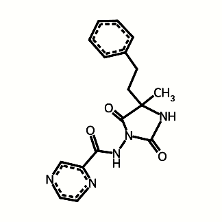 CC1(CCc2ccccc2)NC(=O)N(NC(=O)c2cnccn2)C1=O